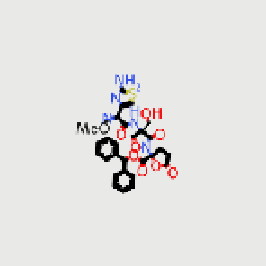 CO/N=C(\C(=O)N[C@@]1(CO)CON(C2(C(=O)OC(c3ccccc3)c3ccccc3)CCC(=O)O2)C1=O)c1csc(N)n1